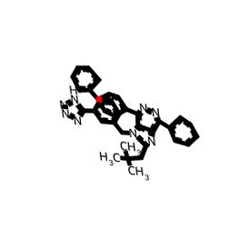 CC(C)(C)Cc1nc2c(-c3ccccc3)nnc(-c3ccccc3)c2n1Cc1ccc(-c2ccccc2)c(-c2nnn[nH]2)c1